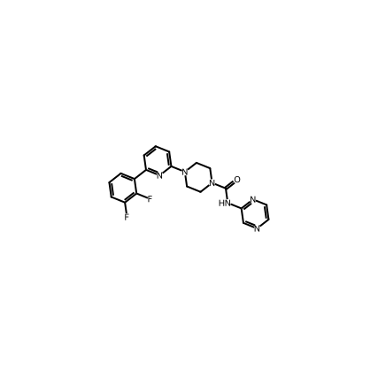 O=C(Nc1cnccn1)N1CCN(c2cccc(-c3cccc(F)c3F)n2)CC1